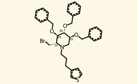 BrC[C@@H]1[C@@H](OCc2ccccc2)[C@H](OCc2ccccc2)[C@@H](OCc2ccccc2)CN1CCCc1ccsc1